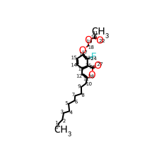 CCCCCCCCCCCc1cc2ccc(OCOC(C)=O)c(F)c2c(=O)o1